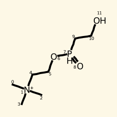 C[N+](C)(C)CCO[PH](=O)CCO